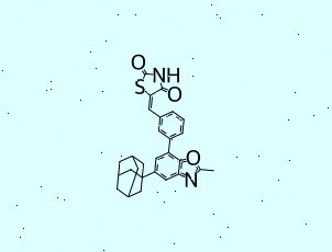 Cc1nc2cc(C34CC5CC(CC(C5)C3)C4)cc(-c3cccc(/C=C4/SC(=O)NC4=O)c3)c2o1